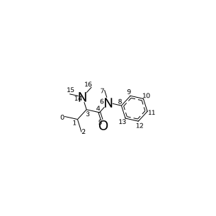 CC(C)C(C(=O)N(C)c1ccccc1)N(C)C